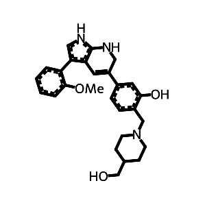 COc1ccccc1-c1c[nH]c2c1C=C(c1ccc(CN3CCC(CO)CC3)c(O)c1)CN2